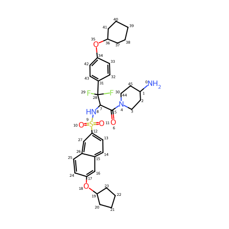 NC1CCN(C(=O)C(NS(=O)(=O)c2ccc3cc(OC4CCCC4)ccc3c2)C(F)(F)c2ccc(OC3CCCCC3)cc2)CC1